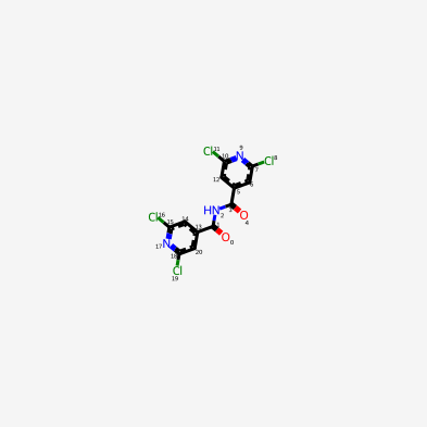 O=C(NC(=O)c1cc(Cl)nc(Cl)c1)c1cc(Cl)nc(Cl)c1